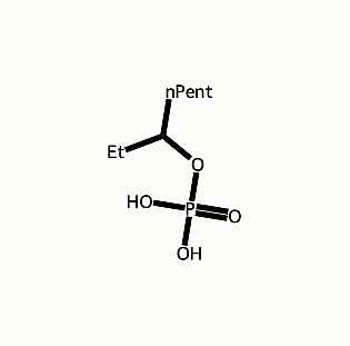 CCCCCC(CC)OP(=O)(O)O